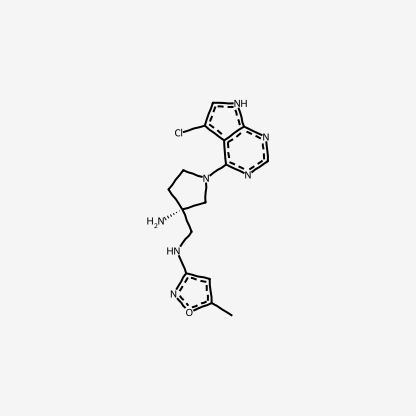 Cc1cc(NC[C@@]2(N)CCN(c3ncnc4[nH]cc(Cl)c34)C2)no1